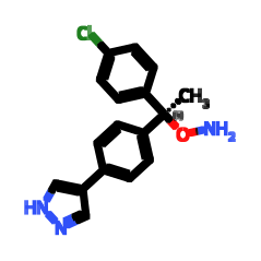 C[C@@](ON)(c1ccc(Cl)cc1)c1ccc(-c2cn[nH]c2)cc1